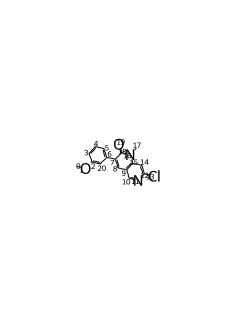 COc1cccc(-c2cc3cnc(Cl)cc3n(C)c2=O)c1